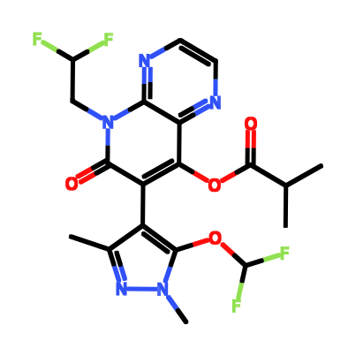 Cc1nn(C)c(OC(F)F)c1-c1c(OC(=O)C(C)C)c2nccnc2n(CC(F)F)c1=O